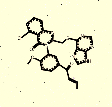 C/C=C/C(=O)c1ccc(OC)c(-n2c(CSc3ncnc4[nH]cnc34)nc3cccc(Cl)c3c2=O)c1